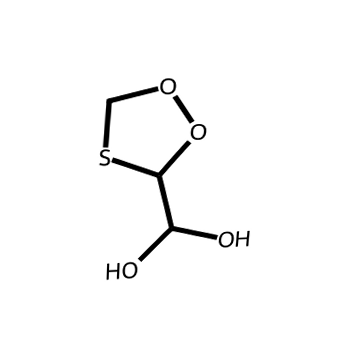 OC(O)C1OOCS1